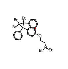 CCN(CC)CCOc1ccc(C2(c3ccccc3)C(Br)(Br)C2(CC)c2ccccc2)cc1